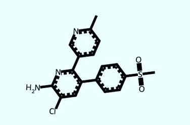 Cc1ccc(-c2nc(N)c(Cl)cc2-c2ccc(S(C)(=O)=O)cc2)cn1